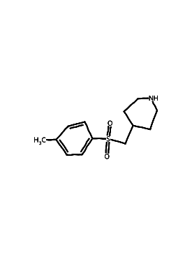 Cc1ccc(S(=O)(=O)CC2CCNCC2)cc1